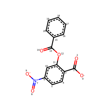 [O]C(=O)c1ccc([N+](=O)[O-])cc1OC(=O)c1ccccc1